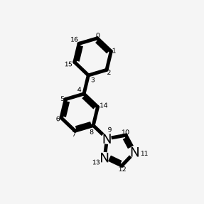 C1=CCC(c2cccc(-n3cncn3)c2)C=C1